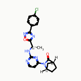 C[C@H](Nc1nccc(N2C(=O)[C@@H]3CC[C@H]2C3)n1)c1nc(-c2ccc(Cl)cc2)no1